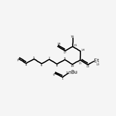 C=CCCCC.C=CCCCCCCC(=CCC)CC(C)C=C